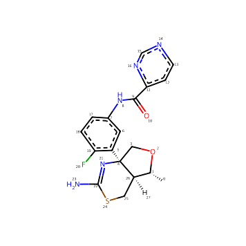 C[C@H]1OC[C@]2(c3cc(NC(=O)c4ccncn4)ccc3F)N=C(N)SC[C@H]12